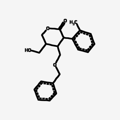 Cc1ccccc1C1C(=O)OCC(CO)C1COCc1ccccc1